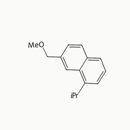 COCc1ccc2cccc(C(C)C)c2c1